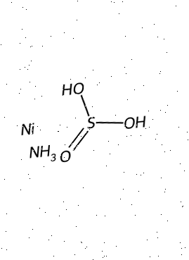 N.O=S(O)O.[Ni]